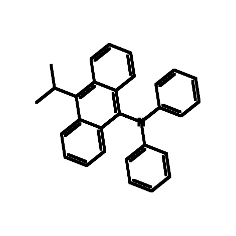 CC(C)c1c2ccccc2c(N(c2ccccc2)c2ccccc2)c2ccccc12